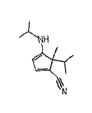 CC(C)NC1=CC=C(C#N)C1(C)C(C)C